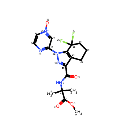 COC(=O)C(C)(C)NC(=O)c1nn(-c2c[n+]([O-])ccn2)c2c1CCCC2(F)F